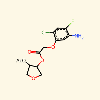 CC(=O)OC1COCC1OC(=O)COc1cc(N)c(F)cc1Cl